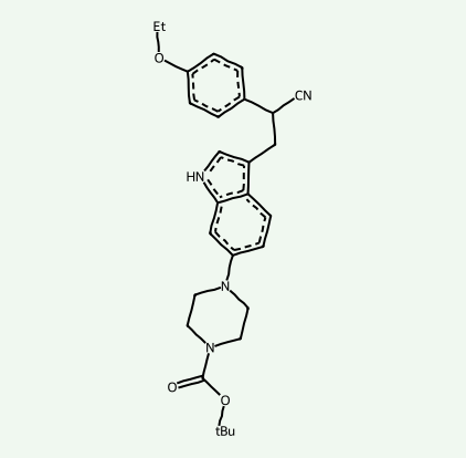 CCOc1ccc(C(C#N)Cc2c[nH]c3cc(N4CCN(C(=O)OC(C)(C)C)CC4)ccc23)cc1